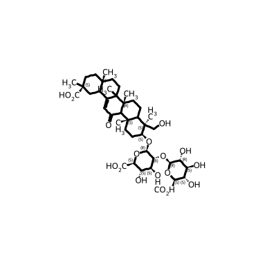 CC12CC[C@@]3(C)CC[C@](C)(C(=O)O)CC3C1=CC(=O)C1[C@@]3(C)CC[C@H](O[C@@H]4O[C@H](C(=O)O)[C@@H](O)[C@H](O)[C@H]4O[C@@H]4O[C@H](C(=O)O)[C@@H](O)[C@H](O)[C@H]4O)[C@](C)(CO)C3CC[C@]12C